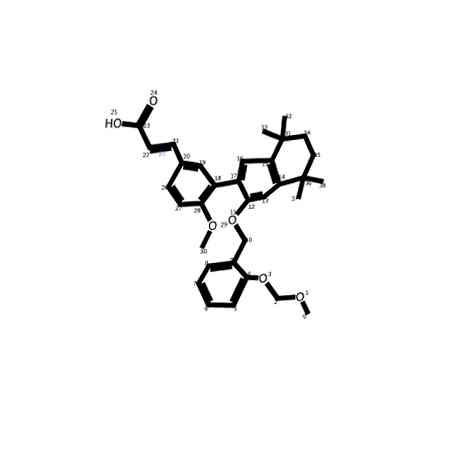 COCOc1ccccc1COc1cc2c(cc1-c1cc(/C=C/C(=O)O)ccc1OC)C(C)(C)CCC2(C)C